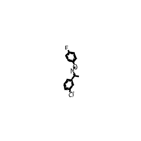 C/C(=N\Oc1ccc(F)cc1)c1cccc(Cl)c1